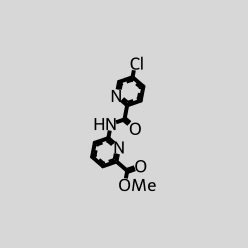 COC(=O)c1cccc(NC(=O)c2ccc(Cl)cn2)n1